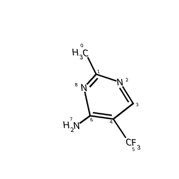 Cc1ncc(C(F)(F)F)c(N)n1